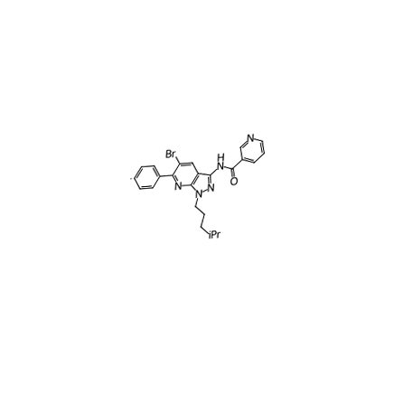 CC(C)CCCn1nc(NC(=O)c2cccnc2)c2cc(Br)c(-c3cc[c]cc3)nc21